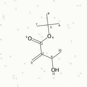 C=C(C(=O)OC(C)(C)C)C(C)O